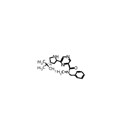 CN(Cc1ccccc1)C(=O)c1cncc(C2C[C@H](C(C)(C)C)CN2)n1